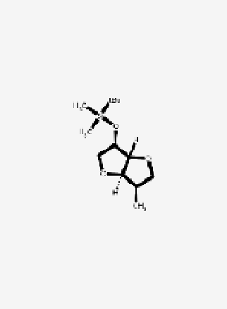 C[C@@H]1CO[C@@H]2[C@@H]1OC[C@H]2O[Si](C)(C)C(C)(C)C